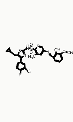 COc1cccc(/C=N/c2cnc(S(=O)(=O)Nc3nc(-c4ccc(F)c(Cl)c4)c(CC4CC4)s3)c(C)c2)c1O